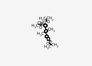 C=C(C)C(=O)Oc1ccc(-c2cc(C)c(-c3ccc4c(c3)CC(OC(=O)C(=C)C)C4)cc2C)cc1OC(=O)C(=C)C